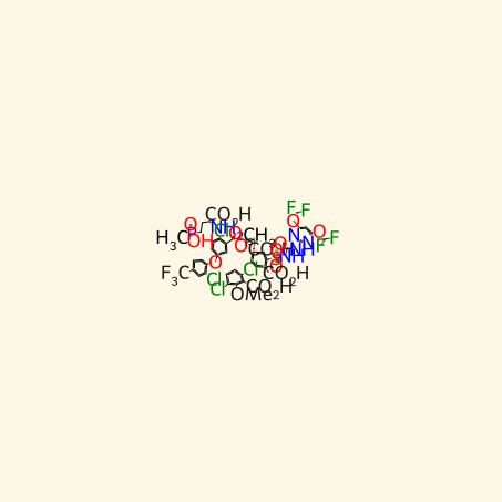 COc1c(Cl)ccc(Cl)c1C(=O)O.CP(=O)(O)CCC(N)C(=O)O.C[C@H](OC(=O)c1cc(Oc2ccc(C(F)(F)F)cc2Cl)ccc1Cl)C(=O)O.O=C(Nc1nc(OC(F)F)cc(OC(F)F)n1)NS(=O)(=O)c1ccccc1C(=O)O